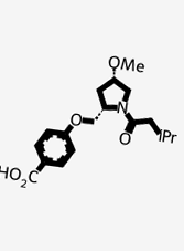 CO[C@H]1C[C@@H](COc2ccc(C(=O)O)cc2)N(C(=O)CC(C)C)C1